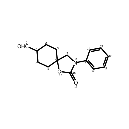 O=CC1CCC2(CC1)CN(c1ccccc1)C(=O)O2